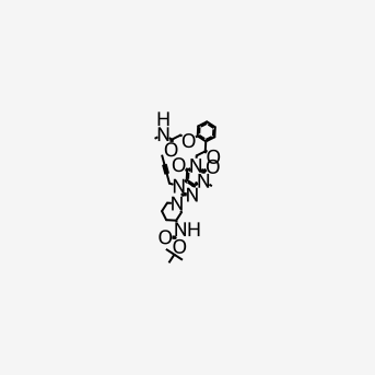 CC#CCn1c(N2CCCC(NC(=O)OC(C)(C)C)C2)nc2c1c(=O)n(CC(=O)c1ccccc1OCC(=O)NC)c(=O)n2C